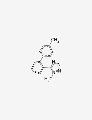 Cc1ccc(-c2ccccc2-c2nnnn2C)cc1